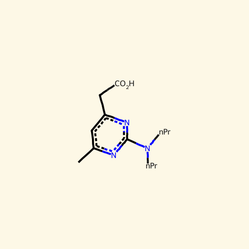 CCCN(CCC)c1nc(C)cc(CC(=O)O)n1